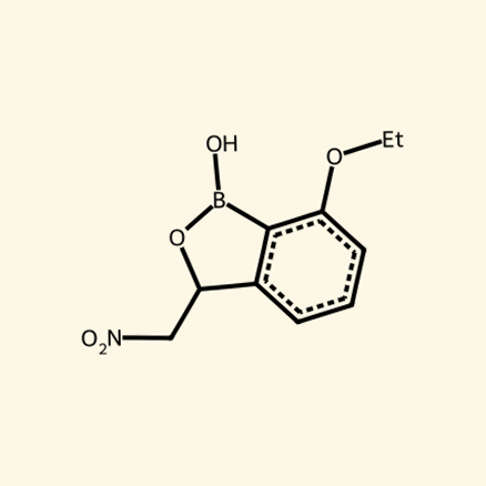 CCOc1cccc2c1B(O)OC2C[N+](=O)[O-]